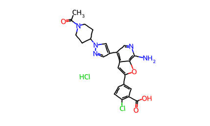 CC(=O)N1CCC(n2cc(-c3cnc(N)c4oc(-c5ccc(Cl)c(C(=O)O)c5)cc34)cn2)CC1.Cl